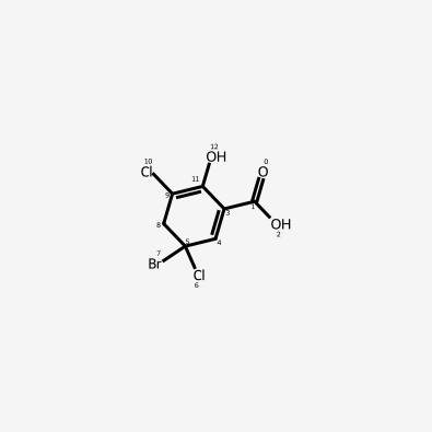 O=C(O)C1=CC(Cl)(Br)CC(Cl)=C1O